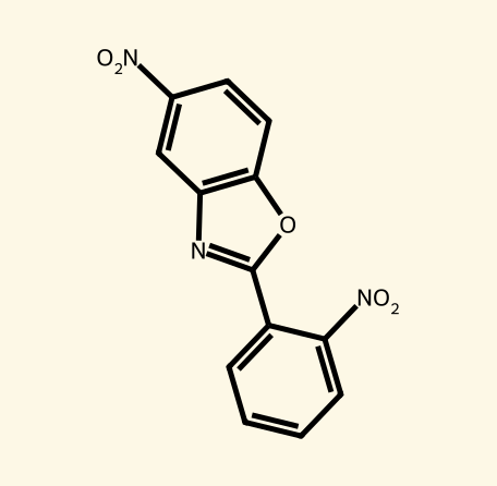 O=[N+]([O-])c1ccc2oc(-c3ccccc3[N+](=O)[O-])nc2c1